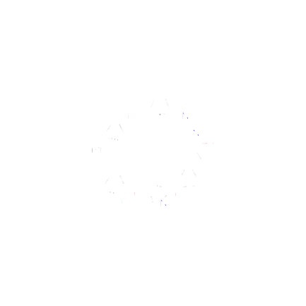 CC(C)c1ccc(OCCc2ccc(CN3CCN(C(=O)C=Cc4ccc(Oc5ccc(OCc6ccccc6Cl)cn5)cc4)CC3)cc2)cc1